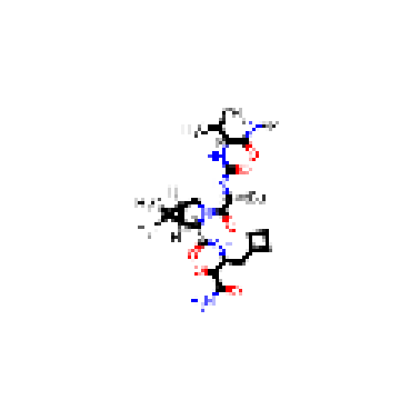 C=C(C)[C@H](NC(=O)N[C@H](C(=O)N1C[C@H]2[C@@H]([C@H]1C(=O)NC(CC1CCC1)C(=O)C(N)=O)C2(C)C)C(C)(C)C)C(=O)NC(C)C